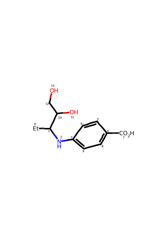 CCC(Nc1ccc(C(=O)O)cc1)C(O)CO